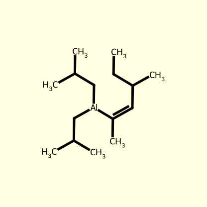 CCC(C)/C=[C](/C)[Al]([CH2]C(C)C)[CH2]C(C)C